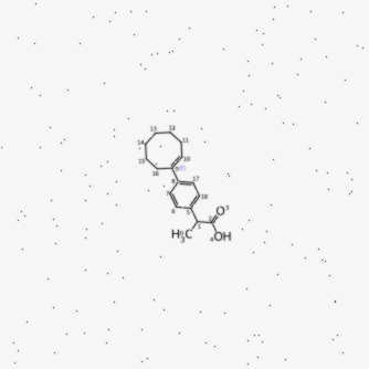 CC(C(=O)O)c1ccc(/C2=C/CCCCCC2)cc1